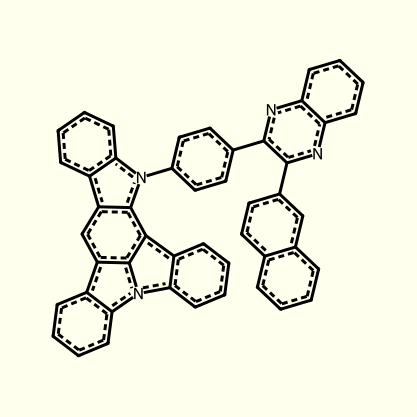 c1ccc2cc(-c3nc4ccccc4nc3-c3ccc(-n4c5ccccc5c5cc6c7ccccc7n7c8ccccc8c(c54)c67)cc3)ccc2c1